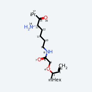 C=CC(CCCCCC)OCC(=O)NCCCC[C@H](N)C(=O)C(C)C